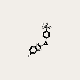 NS(=O)(=O)c1ccc([C@H]2C[C@@H]2c2nc3ccc(F)cc3o2)cc1